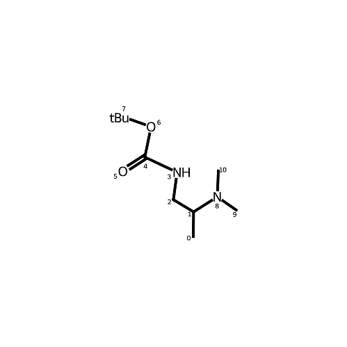 CC(CNC(=O)OC(C)(C)C)N(C)C